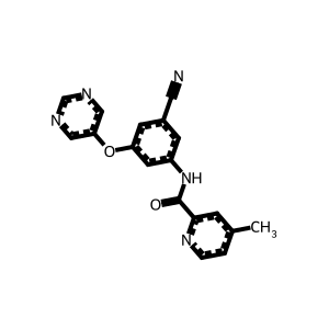 Cc1ccnc(C(=O)Nc2cc(C#N)cc(Oc3cncnc3)c2)c1